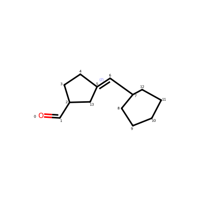 O=CC1CC/C(=C/C2CCCCC2)C1